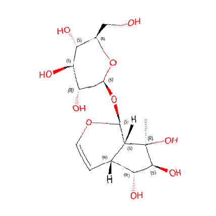 C[C@@]1(O)[C@H]2[C@H](O[C@@H]3O[C@H](CO)[C@@H](O)[C@H](O)[C@H]3O)OC=C[C@H]2[C@@H](O)[C@@H]1O